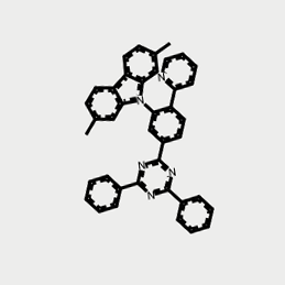 Cc1ccc2c3ccc(C)cc3n(-c3cc(-c4nc(-c5ccccc5)nc(-c5ccccc5)n4)ccc3-c3ccccn3)c2c1